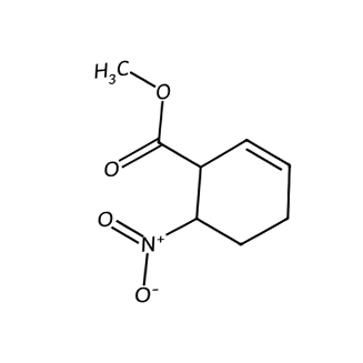 COC(=O)C1C=CCCC1[N+](=O)[O-]